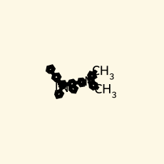 Cc1ccc2c(c1)c1cc(C)ccc1n2-c1ccc(-c2ccc(-c3cc(-c4ccc(-c5ccccc5)cc4)nc(-c4ccccc4)n3)c3ccccc23)cc1